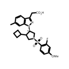 COc1ccc(S(=O)(=O)N2CC(C3CCC3)[C@@H](n3nc(CC(=O)O)c4ccc(C)cc43)C2)c(F)c1